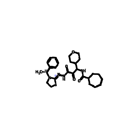 C[C@H](c1ccccc1)N1CCS/C1=N\NC(=O)C(=O)C(NC(=O)C1CCCCCC1)C1CCOCC1